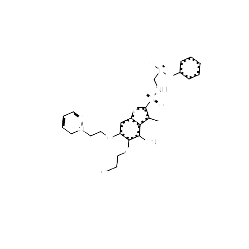 N#Cc1c(OCCCl)c(OCCN2[C+]=CC=CC2)cc2sc(S(=O)(=O)NCP(=O)([O-])Oc3ccccc3)c(F)c12